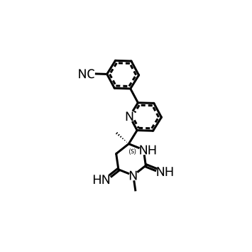 CN1C(=N)C[C@@](C)(c2cccc(-c3cccc(C#N)c3)n2)NC1=N